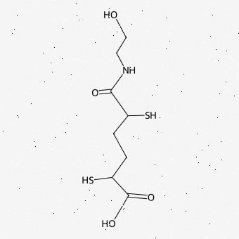 O=C(O)C(S)CCC(S)C(=O)NCCO